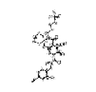 O=C(NCc1ccc(F)cc1F)c1cn2c(c(O)c1=O)C(=O)N(CCCCC(F)(F)F)C1(CCOCC1)C2